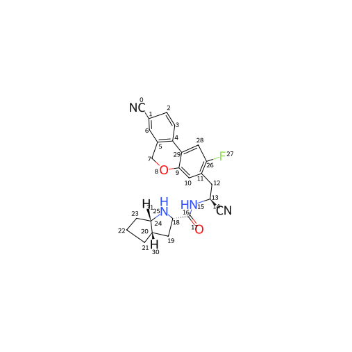 N#Cc1ccc2c(c1)COc1cc(C[C@@H](C#N)NC(=O)[C@@H]3C[C@@H]4CCC[C@@H]4N3)c(F)cc1-2